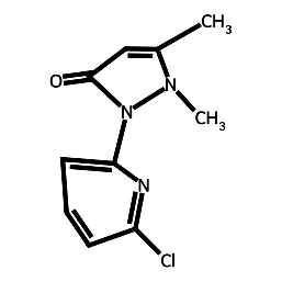 Cc1cc(=O)n(-c2cccc(Cl)n2)n1C